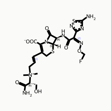 C[N+](C)(C/C=C/C1=C(C(=O)[O-])N2C(=O)[C@@H](NC(=O)/C(=N\OCF)c3nsc(N)n3)[C@@H]2SC1)[C@H](CO)C(N)=O